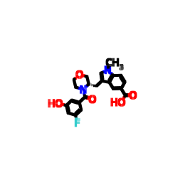 Cn1cc(C[C@H]2COCCN2C(=O)c2cc(O)cc(F)c2)c2cc(C(=O)O)ccc21